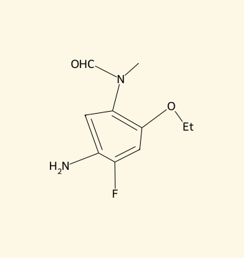 CCOc1cc(F)c(N)cc1N(C)C=O